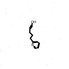 OC#CCCCc1ccccn1